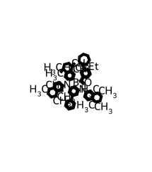 CCc1cc2oc3c(c2cc1C1(C)CCCCCC1)B1c2cc4c(cc2N(c2ccc5c(c2)C(C)(C)CCC5(C)C)c2cc(-c5ccccc5)cc(c21)N3c1ccc2c(c1)C(C)(C)CCC2(C)C)C(C)(C)CCC4(C)C